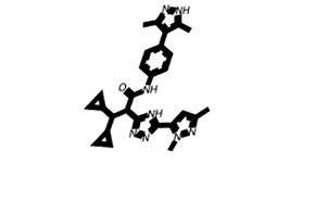 Cc1cc(-c2nnc(C(C(=O)Nc3ccc(-c4c(C)n[nH]c4C)cc3)C(C3CC3)C3CC3)[nH]2)n(C)n1